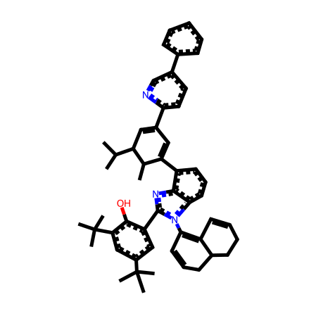 CC(C)C1C=C(c2ccc(-c3ccccc3)cn2)C=C(c2cccc3c2nc(-c2cc(C(C)(C)C)cc(C(C)(C)C)c2O)n3C2=C3C=CCCC3CC=C2)C1C